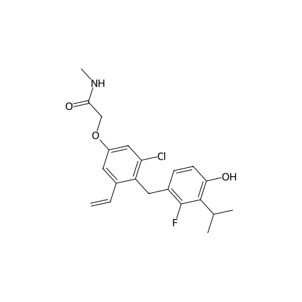 C=Cc1cc(OCC(=O)NC)cc(Cl)c1Cc1ccc(O)c(C(C)C)c1F